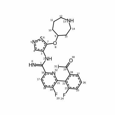 N=C(Nc1cnsc1OC1CCCNCC1)c1ccc(F)c(-c2c(F)cccc2C(=O)I)n1